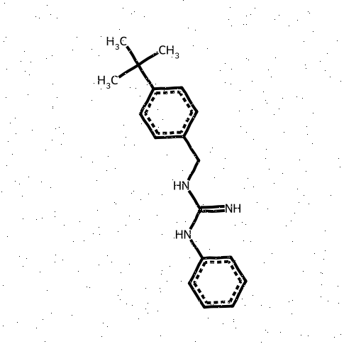 CC(C)(C)c1ccc(CNC(=N)Nc2ccccc2)cc1